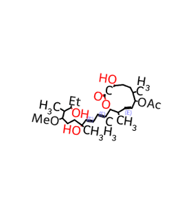 CCC(O)C(C)C(CCC(C)(O)/C=C/C=C(\C)C1OC(=O)CC(O)CCC(C)C(OC(C)=O)/C=C/C1C)OC